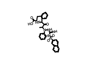 CC(C(=O)C1NC(C(=O)O)Cc2ccccc21)N(NC(=N)NS(=O)(=O)c1ccc2ccccc2c1)c1ccccc1